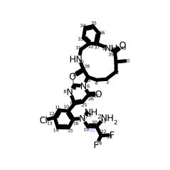 CC1CCCC(n2cnc(-c3cc(Cl)ccc3N(N)/C=C(\N)C(F)F)cc2=O)C(=O)NCc2ccccc2NC1=O